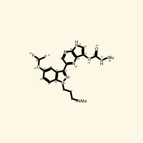 CNCCCn1nc(-c2cnc3[nH]cc(OC(=O)NC(C)(C)C)c3n2)c2cc(OC(F)F)ccc21